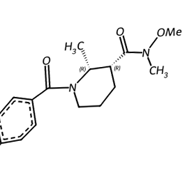 CON(C)C(=O)[C@@H]1CCCN(C(=O)c2ccc(F)cc2)[C@@H]1C